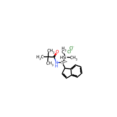 C[SiH](C)[Ti+2]([NH]C(=O)C(C)(C)C)[CH]1C=Cc2ccccc21.[Cl-].[Cl-]